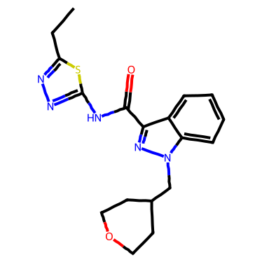 CCc1nnc(NC(=O)c2nn(CC3CCOCC3)c3ccccc23)s1